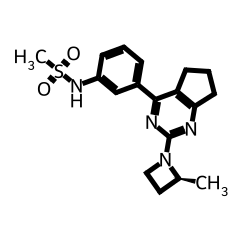 C[C@H]1CCN1c1nc2c(c(-c3cccc(NS(C)(=O)=O)c3)n1)CCC2